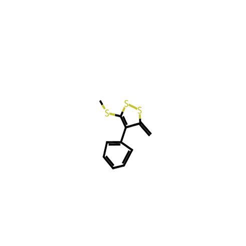 C=C1SSC(SC)=C1c1ccccc1